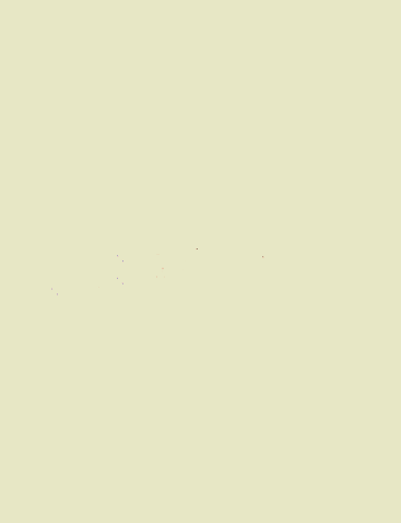 CC1CCC2(F)C(CCC3C4CCC(C(=O)Cn5cc6cnccc6n5)C4(C)CCC32)C1